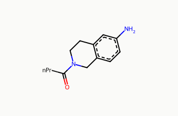 CCCC(=O)N1CCc2cc(N)ccc2C1